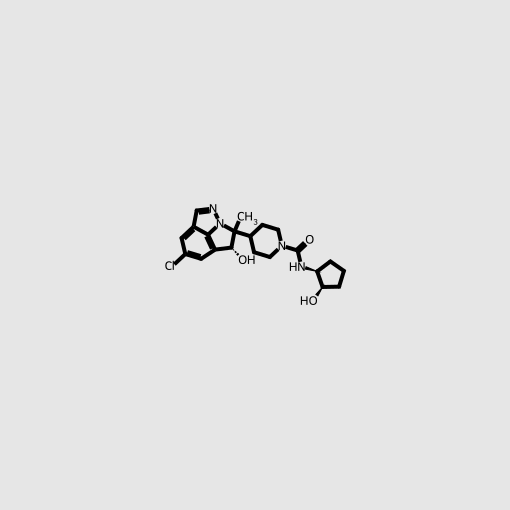 CC1(C2CCN(C(=O)N[C@H]3CCC[C@H]3O)CC2)[C@H](O)c2cc(Cl)cc3cnn1c23